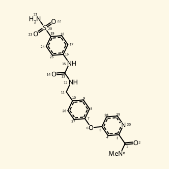 CNC(=O)c1cc(Oc2ccc(CNC(=O)Nc3ccc(S(N)(=O)=O)cc3)cc2)ccn1